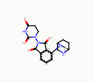 O=C1CCN(N2C(=O)c3cccc(N4CC5CCC4CN5)c3C2=O)C(=O)N1